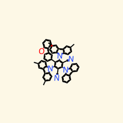 Cc1ccc2c(c1)c1cc(C)ccc1n2-c1c(C#N)c(-n2c3ccccc3c3ccccc32)c(C#N)c(-n2c3ccc(C)cc3c3cc(C)ccc32)c1-c1ccc2oc3ccccc3c2c1